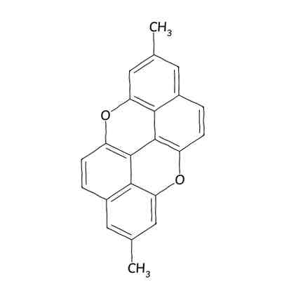 Cc1cc2ccc3oc4cc(C)cc5ccc6oc(c1)c2c3-c6c54